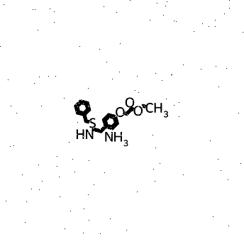 CCOC(=O)COc1ccc(CC(=N)SCc2ccccc2)cc1.N